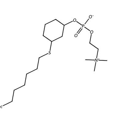 CCCCCCCCCCCCCCCCSC1CCCC(OP(=O)([O-])OCC[N+](C)(C)C)C1